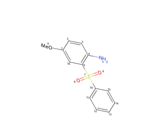 COc1ccc(N)c(S(=O)(=O)c2ccccc2)c1